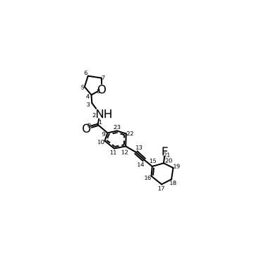 O=C(NCC1CCCO1)c1ccc(C#CC2=CCCCC2F)cc1